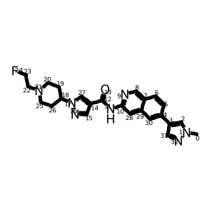 Cn1cc(-c2ccc3cnc(NC(=O)c4cnn(C5CCN(CCF)CC5)c4)cc3c2)cn1